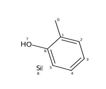 Cc1ccccc1O.[Si]